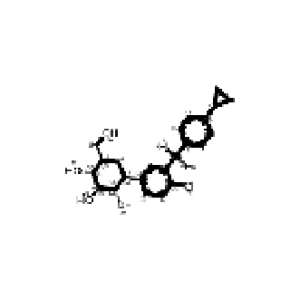 [2H]C([2H])(c1ccc(C2CC2)cc1)c1cc([C@@H]2C[C@H](CO)[C@@H](O)[C@H](O)[C@H]2O)ccc1Cl